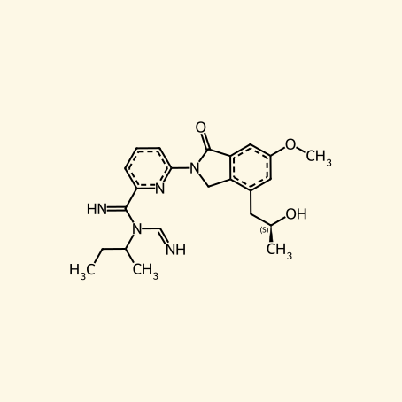 CCC(C)N(C=N)C(=N)c1cccc(N2Cc3c(C[C@H](C)O)cc(OC)cc3C2=O)n1